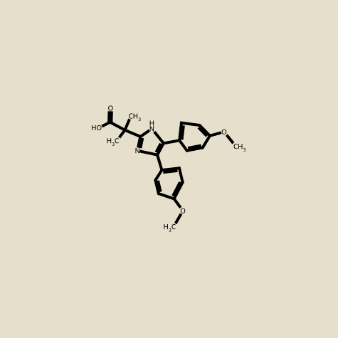 COc1ccc(-c2nc(C(C)(C)C(=O)O)[nH]c2-c2ccc(OC)cc2)cc1